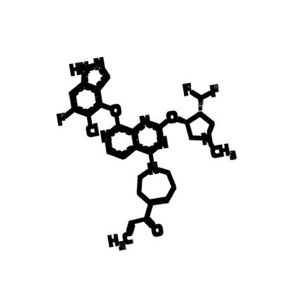 C=CC(=O)C1=CCCN(c2nc(O[C@@H]3CN(C)C[C@H]3C(F)F)nc3c(Oc4c(Cl)c(F)cc5[nH]ncc45)nccc23)CC1